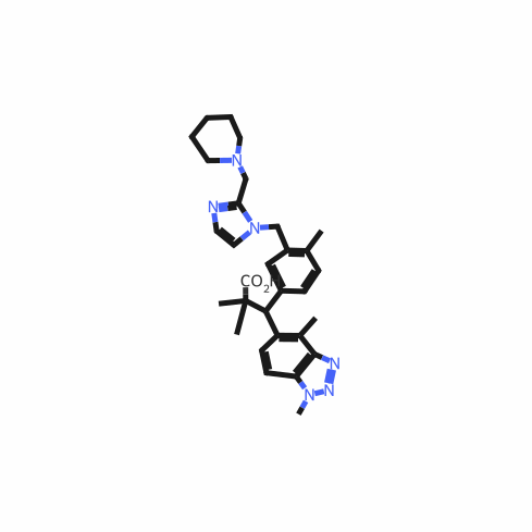 Cc1ccc(C(c2ccc3c(nnn3C)c2C)C(C)(C)C(=O)O)cc1Cn1ccnc1CN1CCCCC1